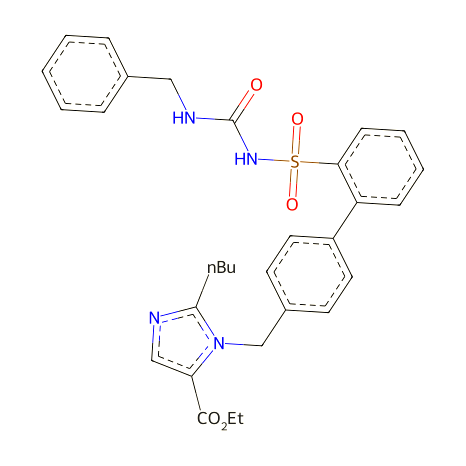 CCCCc1ncc(C(=O)OCC)n1Cc1ccc(-c2ccccc2S(=O)(=O)NC(=O)NCc2ccccc2)cc1